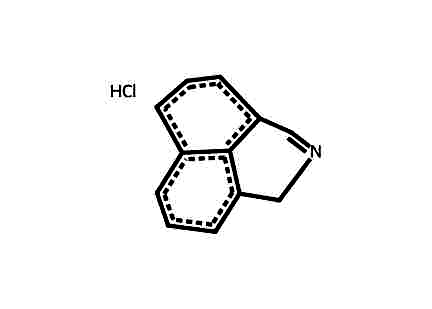 C1=NCc2cccc3cccc1c23.Cl